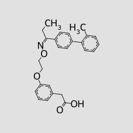 CCC(=NOCCOc1cccc(CC(=O)O)c1)c1ccc(-c2ccccc2C)cc1